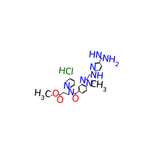 CCOC(=O)CCN(C(=O)c1ccc2c(c1)nc(CNc1ccc(C(=N)N)cn1)n2C)c1ccccn1.Cl